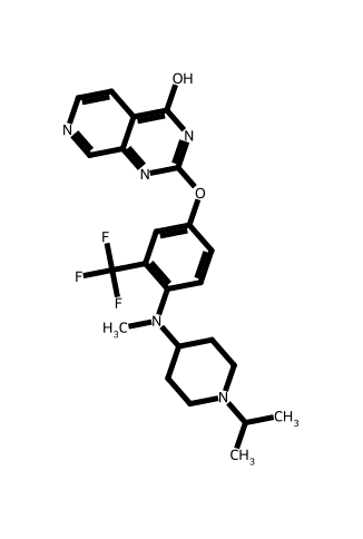 CC(C)N1CCC(N(C)c2ccc(Oc3nc(O)c4ccncc4n3)cc2C(F)(F)F)CC1